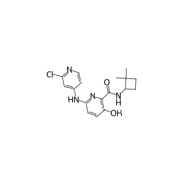 CC1(C)CCC1NC(=O)c1nc(Nc2ccnc(Cl)c2)ccc1O